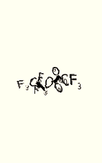 O=C(OCC(F)(F)C(F)(F)F)C(=O)C(F)(F)F